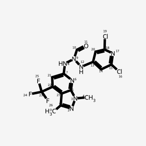 Cc1nn(C)c2nc(NN(C=O)Nc3cc(Cl)nc(Cl)c3)cc(C(F)(F)F)c12